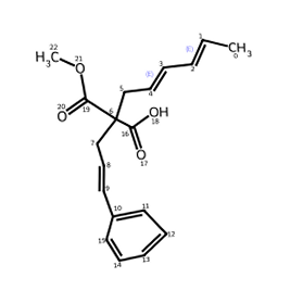 C/C=C/C=C/CC(CC=Cc1ccccc1)(C(=O)O)C(=O)OC